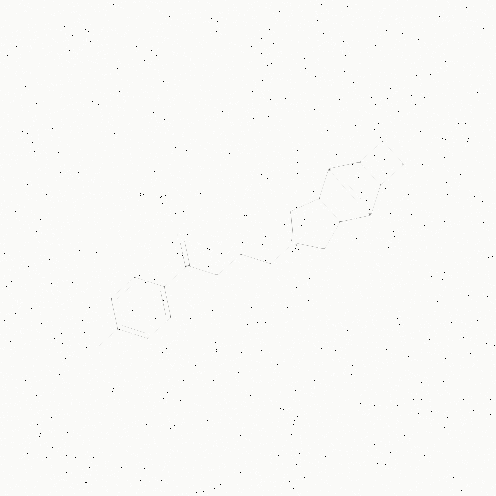 O=C(CCCN1CC2C3C=CC(C4CCC34)C2C1)c1ccc(F)cc1